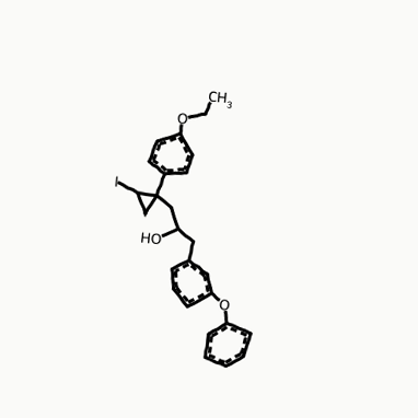 CCOc1ccc(C2(CC(O)Cc3cccc(Oc4ccccc4)c3)CC2I)cc1